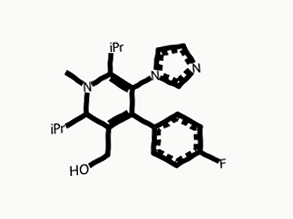 CC(C)C1=C(n2ccnc2)C(c2ccc(F)cc2)=C(CO)C(C(C)C)N1C